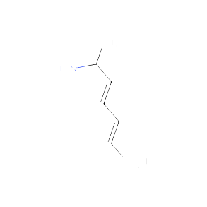 CC(N)C=CC=CC(=O)O